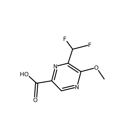 COc1ncc(C(=O)O)nc1C(F)F